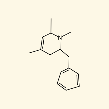 CC1=CC(C)N(C)C(Cc2ccccc2)C1